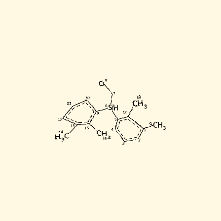 Cc1cccc([SiH](CCl)c2cccc(C)c2C)c1C